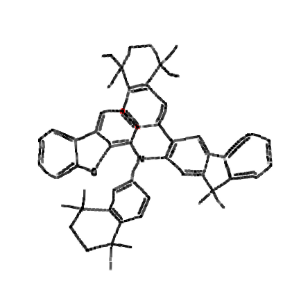 CC1(C)CCC(C)(C)c2cc(-c3cc4c(cc3N(c3ccc5c(c3)C(C)(C)CCC5(C)C)c3cccc5c3oc3ccccc35)C(C)(C)c3ccccc3-4)ccc21